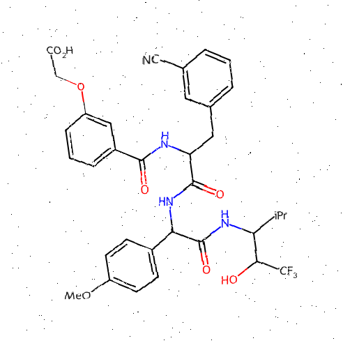 COc1ccc(C(NC(=O)C(Cc2cccc(C#N)c2)NC(=O)c2cccc(OCC(=O)O)c2)C(=O)NC(C(C)C)C(O)C(F)(F)F)cc1